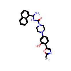 Cc1ncc(-c2ccc(N3CCN(C(=O)NC(N)c4cccc5ccccc45)CC3)cc2O)o1